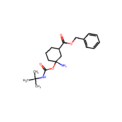 CC(C)(C)NC(=O)OC1(N)CCCC(C(=O)OCc2ccccc2)C1